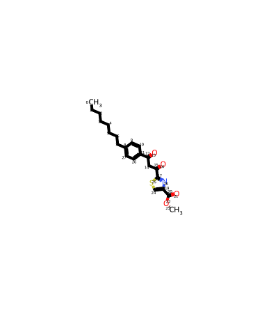 CCCCCCCCc1ccc(C(=O)CC(=O)c2nc(C(=O)OC)cs2)cc1